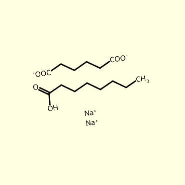 CCCCCCCC(=O)O.O=C([O-])CCCCC(=O)[O-].[Na+].[Na+]